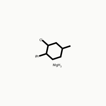 CC1CCC(C(C)C)[C](Cl)C1.[MgH2]